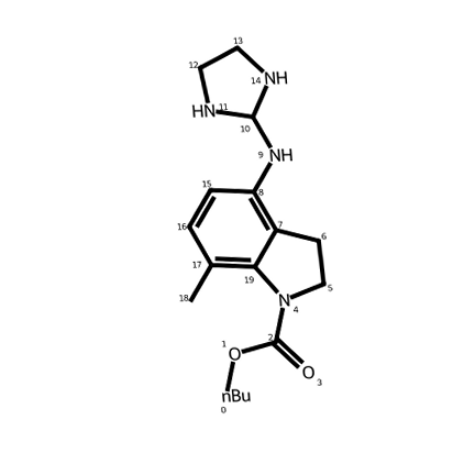 CCCCOC(=O)N1CCc2c(NC3NCCN3)ccc(C)c21